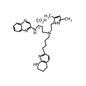 Cc1cc(C)n(CCN(CCCCc2ccc3c(n2)NCCC3)CC[C@H](Nc2cnc3ccccc3n2)C(=O)O)n1